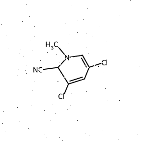 CN1C=C(Cl)C=C(Cl)C1C#N